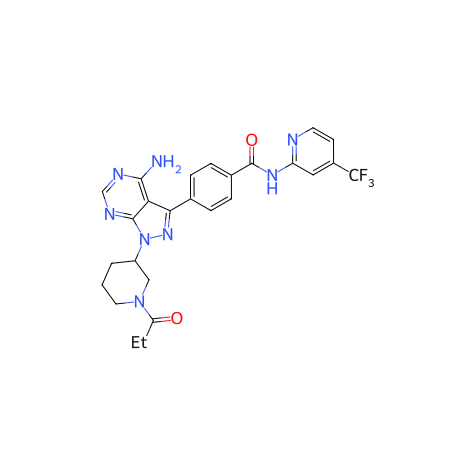 CCC(=O)N1CCCC(n2nc(-c3ccc(C(=O)Nc4cc(C(F)(F)F)ccn4)cc3)c3c(N)ncnc32)C1